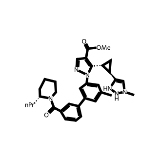 CCC[C@@H]1CCCCN1C(=O)c1cccc(-c2cc(C)cc(-n3ncc(C(=O)OC)c3[C@@H]3C[C@H]3C3=CN(C)NN3)c2)c1